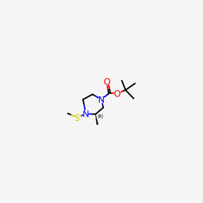 CSN1CCN(C(=O)OC(C)(C)C)C[C@H]1C